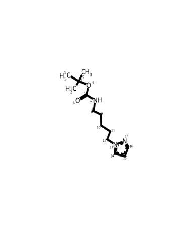 CC(C)(C)OC(=O)NCCCCCn1c[c]cn1